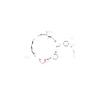 CCOCCOP(C)(=O)O[C@@H]1CC[C@@H](C[C@@H](C)[C@@H]2CC(=O)[C@H](C)/C=C(\C)[C@@H](O)[C@@H](OC)C(=O)[C@H](C)C[C@H](C)/C=C/C=C/C=C(\C)[C@@H](OC)CC3CC[C@@H](C)[C@@](O)(O3)C(=O)C(=O)N3CCCCC3C(=O)O2)C[C@H]1OC